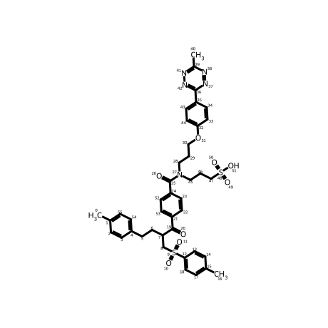 Cc1ccc(CCC(CS(=O)(=O)c2ccc(C)cc2)C(=O)c2ccc(C(=O)N(CCCOc3ccc(-c4nnc(C)nn4)cc3)CCCS(=O)(=O)O)cc2)cc1